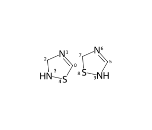 C1=NCNS1.C1=NCSN1